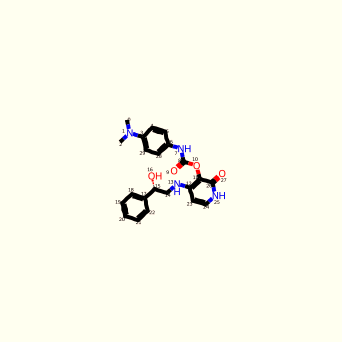 CN(C)c1ccc(NC(=O)Oc2c(NC[C@@H](O)c3ccccc3)cc[nH]c2=O)cc1